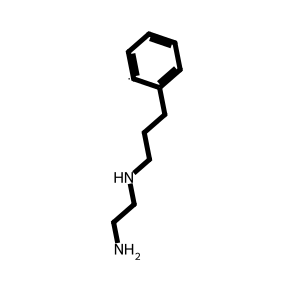 NCCNCCCc1[c]cccc1